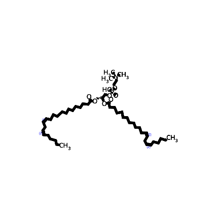 CCCCC/C=C\C/C=C\CCCCCCCCCCCC(=O)OC[C@H](COP(=O)(O)OCC[N+](C)(C)C)OC(=O)CCCCCCCCCCC/C=C\C/C=C\CCCCC